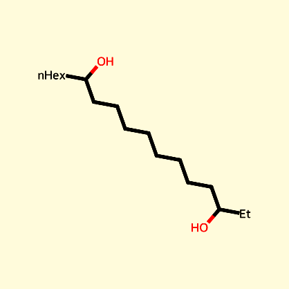 CCCCCCC(O)CCCCCCCCC(O)CC